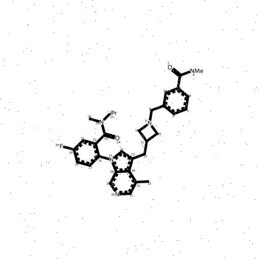 CNC(=O)c1cccc(CN2CC(Cc3cn(-c4ccc(F)cc4C(=O)N(C)C(C)C)c4cncc(C)c34)C2)c1